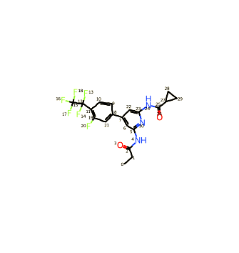 CCC(=O)Nc1cc(-c2ccc(C(F)(F)C(F)(F)F)c(F)c2)cc(NC(=O)C2CC2)n1